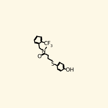 CN(Cc1ccccc1C(F)(F)F)C(=O)CCCSc1ccc(O)cc1